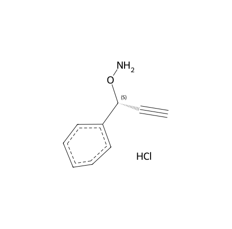 C#C[C@@H](ON)c1ccccc1.Cl